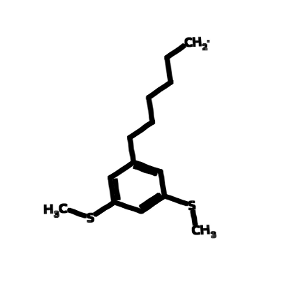 [CH2]CCCCCc1cc(SC)cc(SC)c1